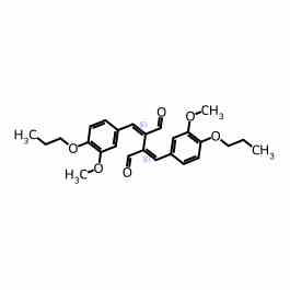 CCCOc1ccc(/C=C(C=O)\C(C=O)=C/c2ccc(OCCC)c(OC)c2)cc1OC